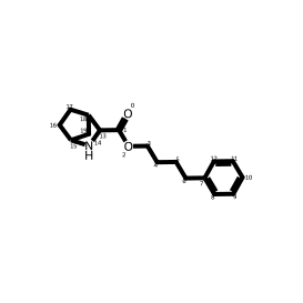 O=C(OCCCCc1ccccc1)C1NC2CCC1C2